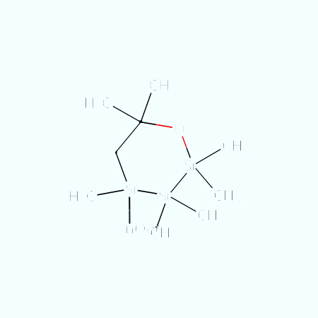 CCCCCCCC[Si]1(C)CC(C)(C)O[Si](C)(C)[Si]1(C)C